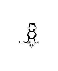 NNc1cc2nccnc2cc1NN